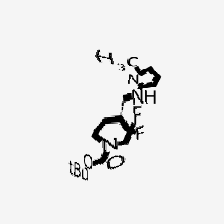 Cc1cccc(NC[C@H]2CCN(C(=O)OC(C)(C)C)CC2(F)F)n1